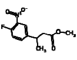 COC(=O)CC(C)c1ccc(F)c([N+](=O)[O-])c1